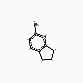 CC(C)(C)c1ccc2c(n1)CCC2